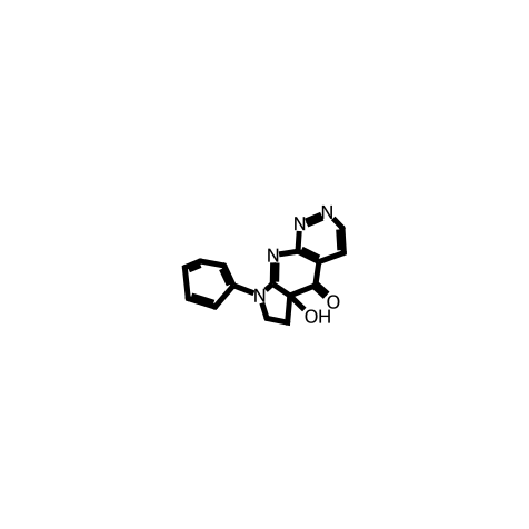 O=C1c2ccnnc2N=C2N(c3ccccc3)CCC12O